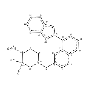 CC(=O)NC1CCN(Cc2ccc3cncc(-c4cc5ccccc5o4)c3c2)CC1(F)F